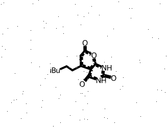 CCC(C)CCc1cc(=O)oc2[nH]c(=O)[nH]c(=O)c12